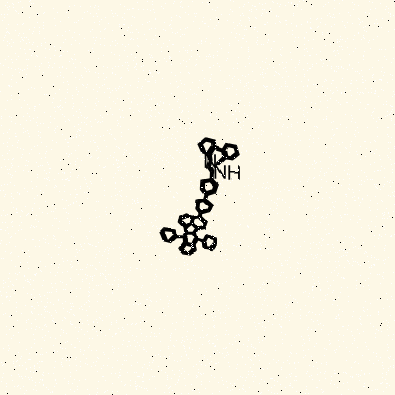 C1=CCCC(C2=c3ccccc3=C(C3=CC=CCC3)C3C4=CC=C(C5=CC=C(C6=CC=C(C7=CN8C9=C(CCC=C9)C9=C(C=CCC9)C8N7)CC6)CC5)C5C=CC=C(C45)C23)=C1